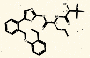 CCC[C@H](NC(=O)[C@@H](O)C(C)(C)C)C(=O)Nc1ncc(-c2ccccc2COc2ccccc2CC)s1